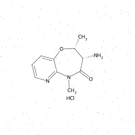 C[C@H]1Oc2cccnc2N(C)C(=O)[C@H]1N.Cl